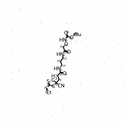 CCSC(=S)SC(C)(C#N)CCC(=O)NCCCNC(=O)CONC(=O)OC(C)(C)C